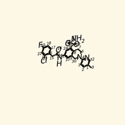 Cc1ccc(N2CCc3c(cc(NC(=O)Cc4ccc(F)cc4Cl)cc3S(N)(=O)=O)C2)nc1